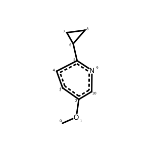 COc1[c]cc(C2CC2)nc1